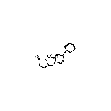 O=C(O)N1C(=O)CCC1Cc1ccc(-c2ccccc2)cc1